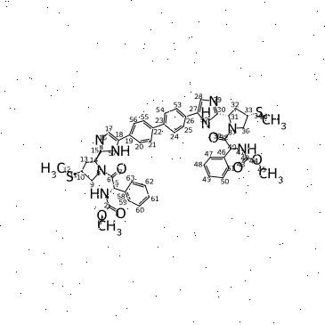 COC(=O)N[C@H](C(=O)N1C[C@@H](SC)C[C@H]1c1ncc(-c2ccc(-c3ccc(-c4cnc([C@@H]5C[C@H](SC)CN5C(=O)[C@@H](NC(=O)OC)c5ccccc5)[nH]4)cc3)cc2)[nH]1)c1ccccc1